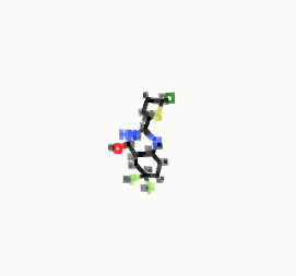 O=c1[nH]c(-c2ccc(Cl)s2)nc2c1CC(F)(F)CC2